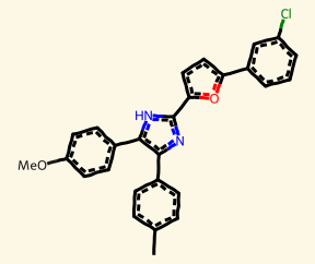 COc1ccc(-c2[nH]c(-c3ccc(-c4cccc(Cl)c4)o3)nc2-c2ccc(C)cc2)cc1